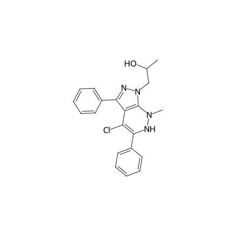 CC(O)Cn1nc(-c2ccccc2)c2c1N(C)NC(c1ccccc1)=C2Cl